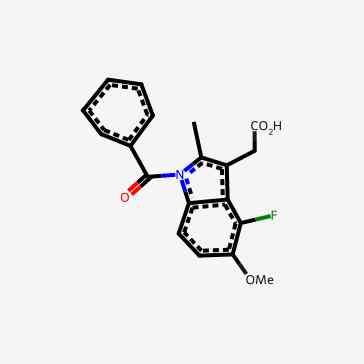 COc1ccc2c(c1F)c(CC(=O)O)c(C)n2C(=O)c1ccccc1